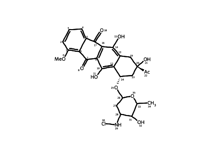 COc1cccc2c1C(=O)c1c(O)c3c(c(O)c1C2=O)C[C@@](O)(C(C)=O)C[C@@H]3OC1CC(NCl)C(O)C(C)O1